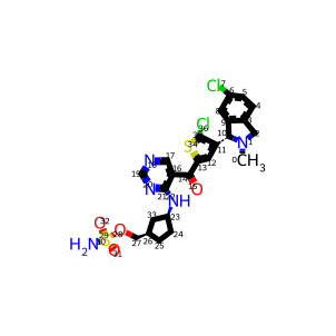 CN1Cc2ccc(Cl)cc2[C@H]1c1cc(C(=O)c2cncnc2N[C@H]2CC[C@@H](COS(N)(=O)=O)C2)sc1Cl